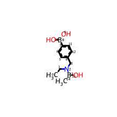 CCN(Cc1ccc(B(O)O)cc1)B(C)O